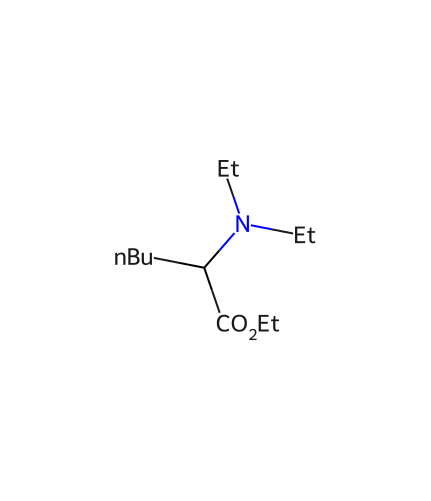 CCCCC(C(=O)OCC)N(CC)CC